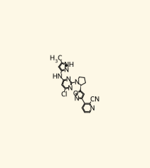 Cc1cc(Nc2cc(Cl)nc(N3CCC[C@H]3c3cc(-c4cccnc4C#N)no3)n2)n[nH]1